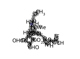 C#C[C@H]1CC(F)(F)CN1C(=O)CNC(=O)c1ccnc2ccc(OCCCCN3CCN(C(=O)[C@H](CC(=O)OC)NC(=O)[C@H](CCCC/N=C(\C)NC(=O)CCCc4ccc(C)cc4)NC(=O)CN4CCN(COC=O)CCN(COC=O)CCN(CC(=O)O)CC4)CC3)cc12